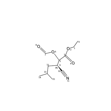 CCOC(=O)C(OC=O)[C@@H](C#N)CC(C)C